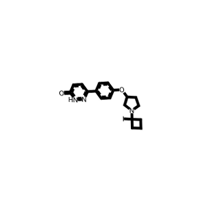 O=c1ccc(-c2ccc(OC3CCN(C4(I)CCC4)C3)cc2)n[nH]1